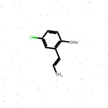 C/C=C/c1cc(Cl)ccc1OC